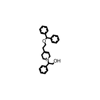 OCC(c1ccccc1)N1CC=C(CCOC(c2ccccc2)c2ccccc2)CC1